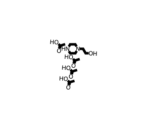 CC(=O)O.CC(=O)O.CC(=O)O.CC(=O)O.OCCN1CCNCC1